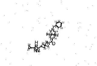 O=C(N1C[C@H]2CN(Cc3ccccc3)C[C@H]2C1)N1CC2(CC(c3nnc(C4CC4)[nH]3)C2)C1